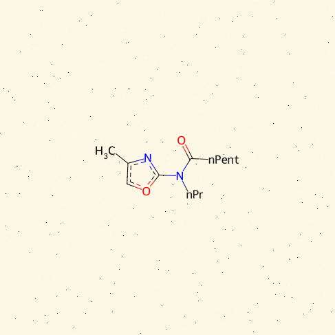 CCCCCC(=O)N(CCC)c1nc(C)co1